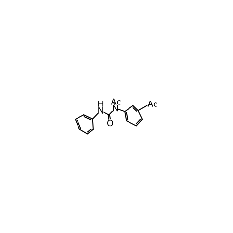 CC(=O)c1cccc(N(C(C)=O)C(=O)Nc2ccccc2)c1